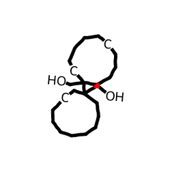 OCC1(C2(CO)CCCCCCCCCC2)CCCCCCCCCC1